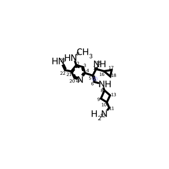 CNc1cc(/C(=C/NC2CC(CN)C2)C(=N)C2CC2)ncc1C=N